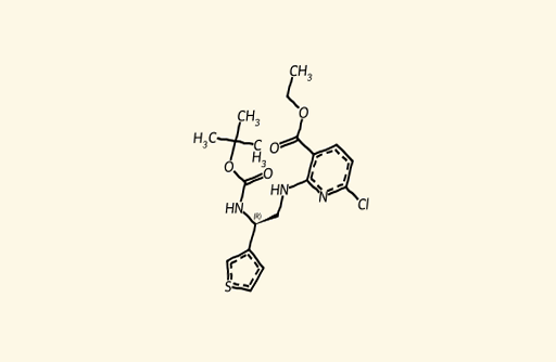 CCOC(=O)c1ccc(Cl)nc1NC[C@H](NC(=O)OC(C)(C)C)c1ccsc1